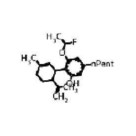 C=C(C)C1CCC(C)=CC1c1c(O)cc(CCCCC)cc1OC(C)F